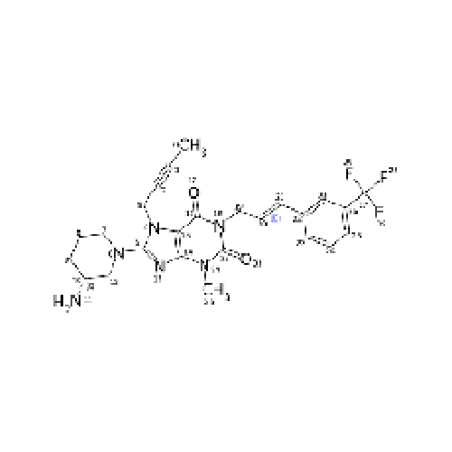 CC#CCn1c(N2CCC[C@@H](N)C2)nc2c1c(=O)n(C/C=C/c1cccc(C(F)(F)F)c1)c(=O)n2C